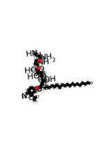 CCCCCCCCCCCCCCCCCCC[C@H](COP(=O)(O)OC[C@@]1(C)O[C@@H](c2ccc(/C(N)=N\C=N)[nH]2)[C@H](O)[C@@H]1O)OCc1ccc(C#N)c(OC(C)C)c1